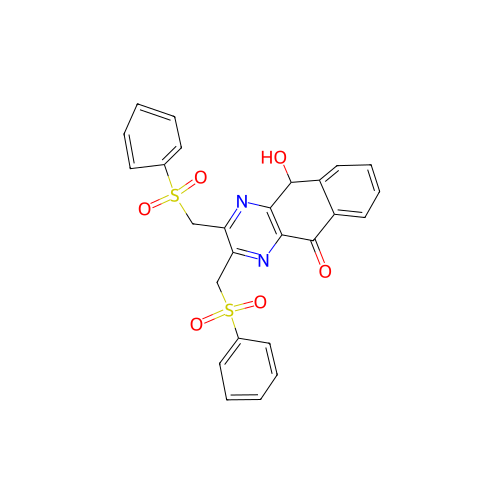 O=C1c2ccccc2C(O)c2nc(CS(=O)(=O)c3ccccc3)c(CS(=O)(=O)c3ccccc3)nc21